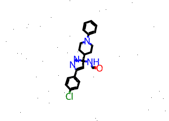 O=CNC1(C2CCN(c3ccccc3)CC2)C=C(c2ccc(Cl)cc2)N=N1